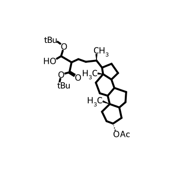 CC(=O)O[C@@H]1CC[C@@]2(C)C(CCC3C2CC[C@@]2(C)C3CCC2[C@H](C)CCC(C(=O)OC(C)(C)C)C(O)OC(C)(C)C)C1